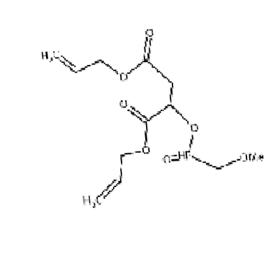 C=CCOC(=O)CC(O[PH](=O)COC)C(=O)OCC=C